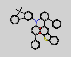 CC1(C)c2ccccc2-c2cc(N(c3ccc(-c4ccccc4)cc3)c3cccc(-c4ccccc4)c3-c3ccc4sc5ccccc5c4c3)ccc21